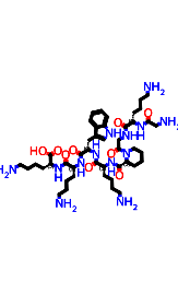 NCCCC[C@H](NC(=O)[C@H](CCCCN)NC(=O)[C@H](Cc1c[nH]c2ccccc12)NC(=O)[C@H](CCCCN)NC(=O)[C@@H]1CCCCN1C(=O)CNC(=O)[C@H](CCCCN)NC(=O)CN)C(=O)O